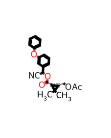 CC(=O)OC[C@H]1[C@@H](C(=O)OC(C#N)c2cccc(Oc3ccccc3)c2)C1(C)C